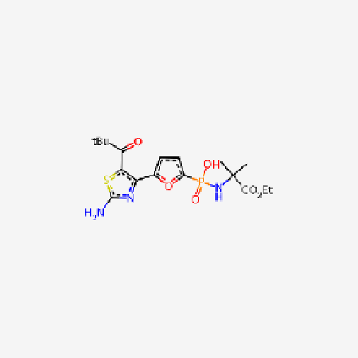 CCOC(=O)C(C)(C)NP(=O)(O)c1ccc(-c2nc(N)sc2C(=O)C(C)(C)C)o1